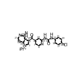 CC(C)n1cc(C(=O)c2ccnc(NC(=O)Nc3ccc(Cl)cc3)c2)c2c(N)ncnc21